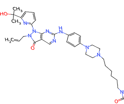 C=CCn1c(=O)c2cnc(Nc3ccc(N4CCN(CCCCCCNC(=O)O)CC4)cc3)nc2n1-c1cccc(C(C)(C)O)n1